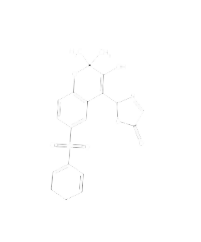 CC1(C)Oc2ccc(S(=O)(=O)C3=CCCC=C3)cc2C(C2N=CC(=O)O2)=C1O